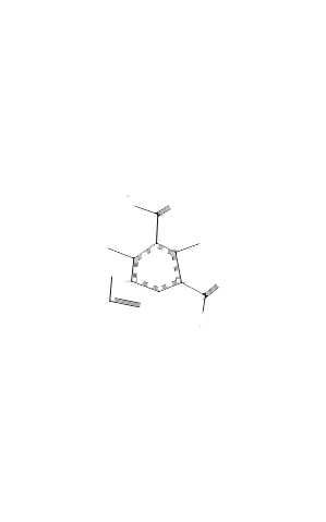 C=CC.Cc1c(C(=O)O)ccc(F)c1C(=O)O